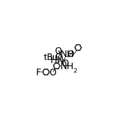 CC(C)(C)OC(=O)NC(COCc1ccccc1)C(=O)Nc1ccc(Oc2ccc(F)cc2)cc1N